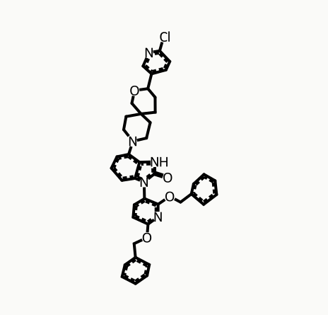 O=c1[nH]c2c(N3CCC4(CCC(c5ccc(Cl)nc5)OC4)CC3)cccc2n1-c1ccc(OCc2ccccc2)nc1OCc1ccccc1